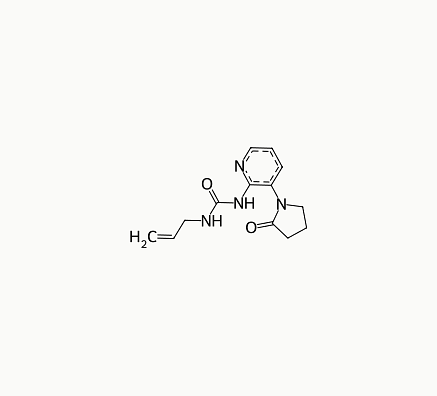 C=CCNC(=O)Nc1ncccc1N1CCCC1=O